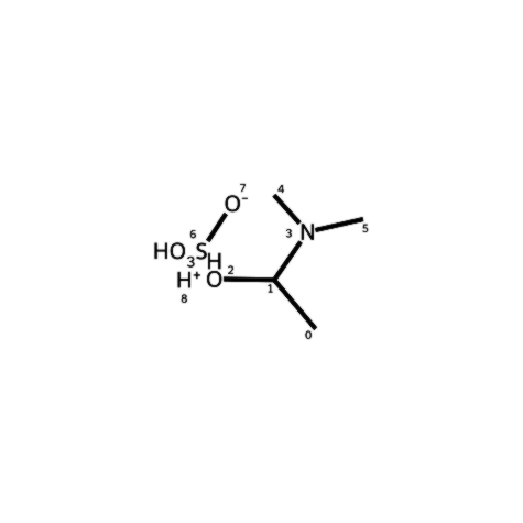 CC(O)N(C)C.O=S(=O)([O-])O.[H+]